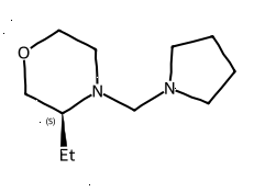 CC[C@H]1COCCN1CN1CCCC1